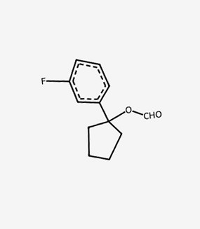 O=COC1(c2cccc(F)c2)CCCC1